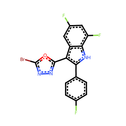 Fc1ccc(-c2[nH]c3c(F)cc(F)cc3c2-c2nnc(Br)o2)cc1